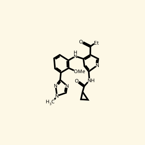 CCC(=O)c1cnc(NC(=O)C2CC2)cc1Nc1cccc(-c2ncn(C)n2)c1OC